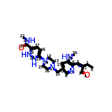 CC/C(C=O)=C/c1ncc(CN2CCN(C3=CC=C(C(=O)NC)NN3)CC2)cc1NC